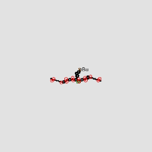 C=CC(=O)OCCCCCCOc1ccc(OC(=O)C2CCC(C(=O)Oc3cc(Br)c(OC(=O)C4CCC(C(=O)Oc5ccc(OCCCCCCOC(=O)C=C)cc5)CC4)c(-c4ccc5c(ccc6cc(SCCCC)ccc65)c4)c3)CC2)cc1